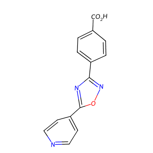 O=C(O)c1ccc(-c2noc(-c3ccncc3)n2)cc1